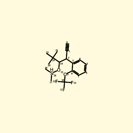 C#CC(c1ccccc1OC(F)(F)F)C(O[SiH](C)C)C(C)(C)C